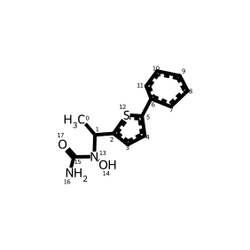 CC(c1ccc(-c2ccccc2)s1)N(O)C(N)=O